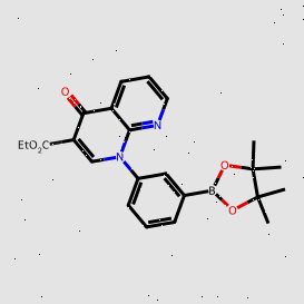 CCOC(=O)c1cn(-c2cccc(B3OC(C)(C)C(C)(C)O3)c2)c2ncccc2c1=O